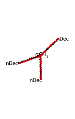 CCCCCCCCCCCCCCCCCCCCCCCCCCCCCC[CH2][Bi]([CH3])([Cl])([CH2]CCCCCCCCCCCCCCCCCCCCCCCCCCCCCC)[CH2]CCCCCCCCCCCCCCCCCCCCCCCCCCCCCC